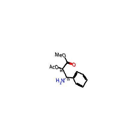 COC(=O)[C@H](OC(C)=O)[C@@H](N)c1ccccc1